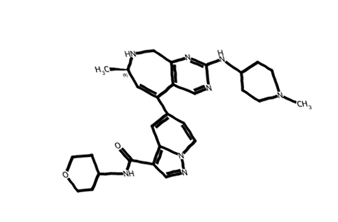 C[C@@H]1C=C(c2ccn3ncc(C(=O)NC4CCOCC4)c3c2)c2cnc(NC3CCN(C)CC3)nc2CN1